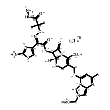 COCN1C=C2N=C(C)C=C(SCC3=C(C(=O)O)N4C(=O)C(NC(=O)/C(=N\OC(C)(C)C(=O)NN)c5csc(N)n5)[C@H]4SC3)N2N1.Cl.Cl